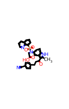 Cc1[nH]c2ccc(N(CC(=O)O)S(=O)(=O)c3cccc4cccnc34)cc2c1C(=O)CCc1ccc(C#N)cc1